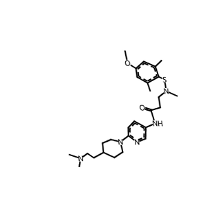 COc1cc(C)c(SN(C)CCC(=O)Nc2ccc(N3CCC(CCN(C)C)CC3)nc2)c(C)c1